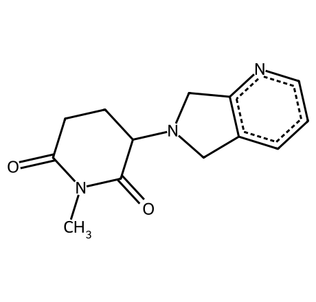 CN1C(=O)CCC(N2Cc3cccnc3C2)C1=O